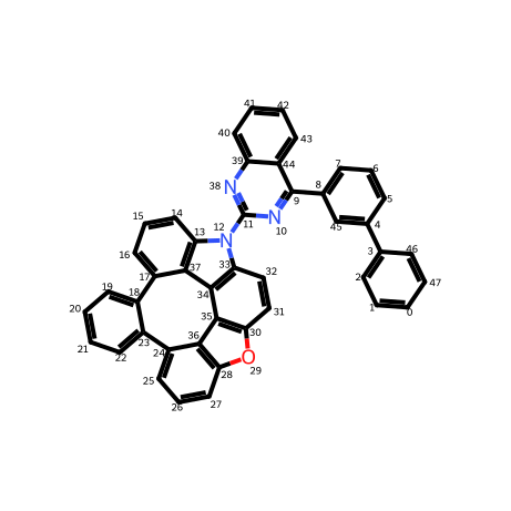 c1ccc(-c2cccc(-c3nc(-n4c5cccc6c7ccccc7c7cccc8oc9ccc4c(c9c87)c65)nc4ccccc34)c2)cc1